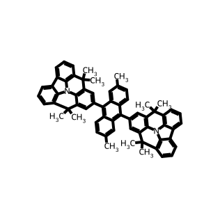 Cc1ccc2c(-c3cc4c5c(c3)C(C)(C)c3cccc6c7cccc(c7n-5c36)C4(C)C)c3cc(C)ccc3c(-c3cc4c5c(c3)C(C)(C)c3cccc6c7cccc(c7n-5c36)C4(C)C)c2c1